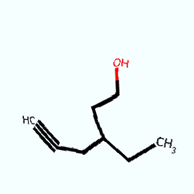 C#CCC(CC)CCO